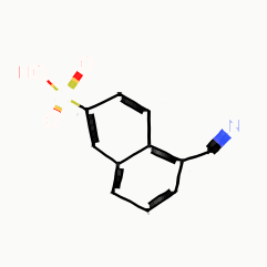 N#Cc1cccc2cc(S(=O)(=O)O)ccc12